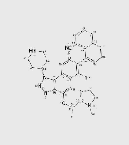 Cc1cc2c(nc(O[C@@H](C)[C@@H]3CCCN3C)c3nnn(C4CCNCC4)c32)c(F)c1-c1cccc2cccc(C#N)c12